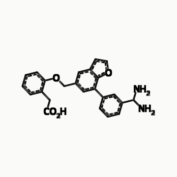 NC(N)c1cccc(-c2cc(COc3ccccc3CC(=O)O)cc3ccoc23)c1